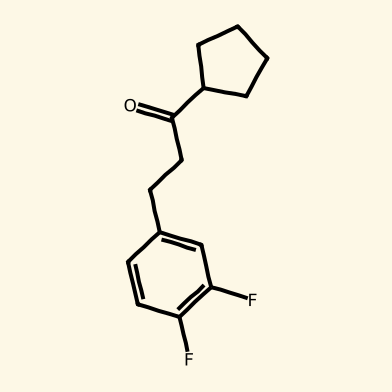 O=C(CCc1ccc(F)c(F)c1)C1CCCC1